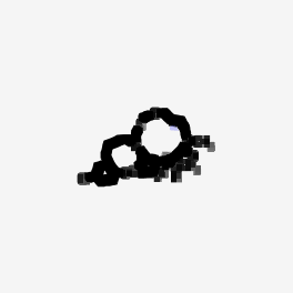 C[C@H]1C(=O)N(C)C/C=C/CCCCCN2CCCCc3cc(Cl)ccc3COc3ccc(cc32)[C@]1(O)C(=O)O